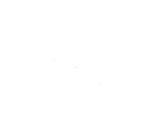 CC1CCC(C(C)C)NC(=O)C1